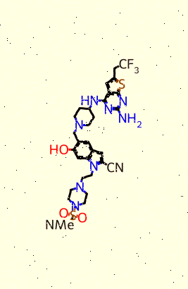 CNS(=O)(=O)N1CCN(CCn2c(C#N)cc3cc(CN4CCC(Nc5nc(N)nc6sc(CC(F)(F)F)cc56)CC4)c(O)cc32)CC1